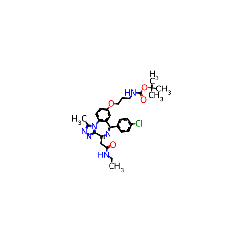 CCNC(=O)C[C@@H]1N=C(c2ccc(Cl)cc2)c2cc(OCCCNC(=O)OC(C)(C)C)ccc2-n2c(C)nnc21